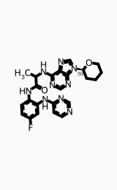 CC(Nc1ncnc2c1ncn2[C@@H]1CCCCO1)C(=O)Nc1ccc(F)cc1Nc1ccncn1